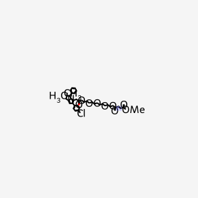 COC(=O)/C=C/C(=O)OCCOCCOCCOCCOC(=O)Cc1c(-c2ccc(Cl)cc2)cc2n1C(c1ccccc1)C(C)(C)C2